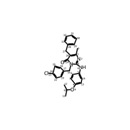 Cc1nc(Nc2ccc(OC(C)C)cc2)n(Cc2ccc(Cl)cc2)c(=O)c1Cc1ccccc1